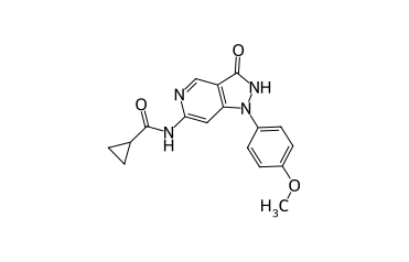 COc1ccc(-n2[nH]c(=O)c3cnc(NC(=O)C4CC4)cc32)cc1